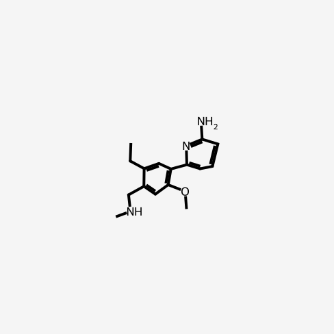 CCc1cc(-c2cccc(N)n2)c(OC)cc1CNC